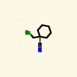 N#CC1(CBr)CCCCC1